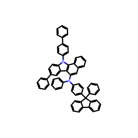 c1ccc(-c2ccc(-n3c4ccc(-c5ccccc5)cc4c4c(N(c5ccccc5)c5ccc(C6(c7ccccc7)c7ccccc7-c7ccccc76)cc5)cc5ccccc5c43)cc2)cc1